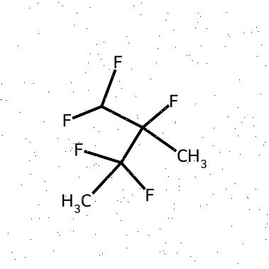 CC(F)(F)C(C)(F)C(F)F